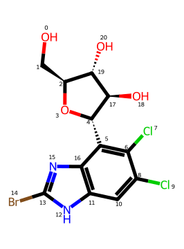 OC[C@@H]1O[C@@H](c2c(Cl)c(Cl)cc3[nH]c(Br)nc23)[C@H](O)[C@H]1O